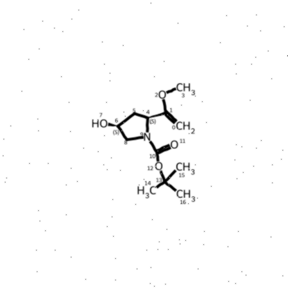 C=C(OC)[C@@H]1C[C@H](O)CN1C(=O)OC(C)(C)C